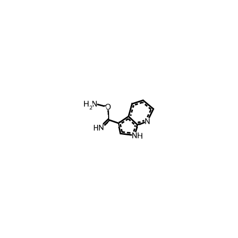 N=C(ON)c1c[nH]c2ncccc12